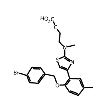 Cc1ccc(OCc2ccc(Br)cc2)c(-c2csc(N(C)CCCC(=O)O)n2)c1